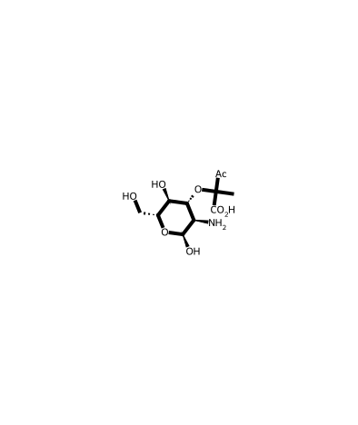 CC(=O)C(C)(O[C@@H]1[C@@H](N)[C@@H](O)O[C@H](CO)[C@H]1O)C(=O)O